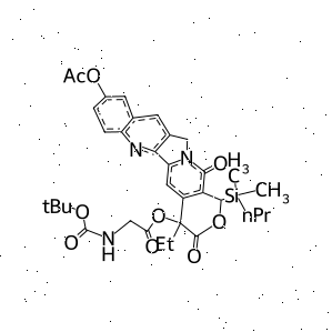 CCC[Si](C)(C)C1OC(=O)C(CC)(OC(=O)CNC(=O)OC(C)(C)C)c2cc3n(c(=O)c21)Cc1cc2cc(OC(C)=O)ccc2nc1-3